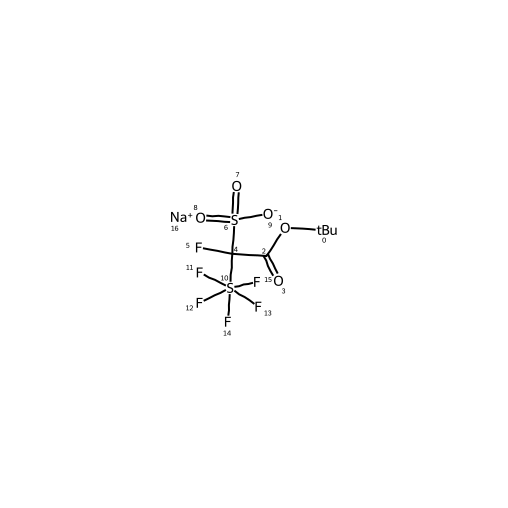 CC(C)(C)OC(=O)C(F)(S(=O)(=O)[O-])S(F)(F)(F)(F)F.[Na+]